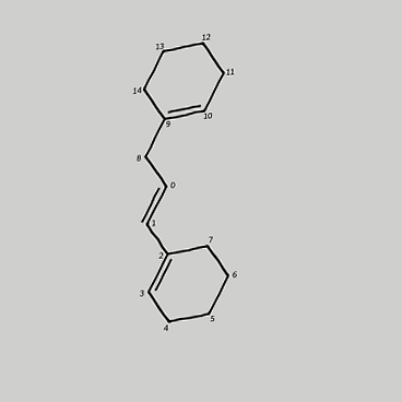 C(=CC1=CCCCC1)CC1=CCCCC1